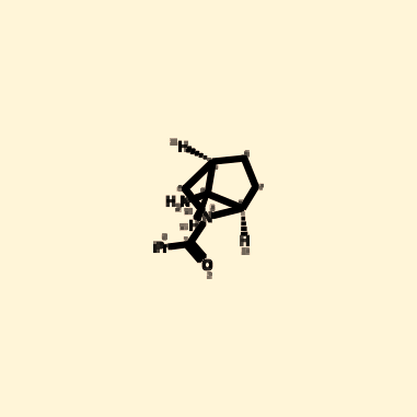 CC(C)C(=O)N1C[C@H]2CC[C@@H]1[C@@H]2N